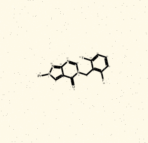 CC(C)n1cc2c(=O)n(Cc3c(F)cccc3F)cnc2n1